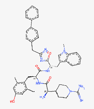 Cc1cc(O)cc(C)c1C[C@H](NC(=O)[C@H](N)C1CCN(C(=N)N)CC1)C(=O)N[C@@H](Cc1cn(C)c2ccccc12)c1nc(Cc2ccc(-c3ccccc3)cc2)no1